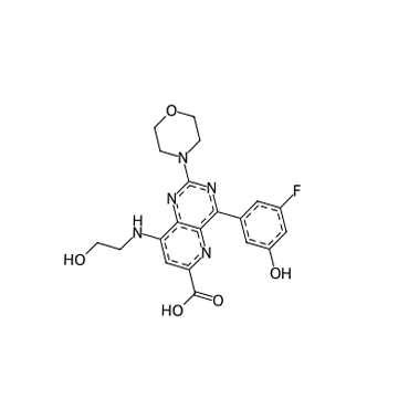 O=C(O)c1cc(NCCO)c2nc(N3CCOCC3)nc(-c3cc(O)cc(F)c3)c2n1